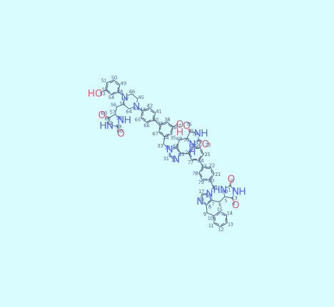 O=C1NC(=O)C(Cc2c(Cc3ccccc3)ncn2Cc2ccc(-c3cccc(-c4ncn(Cc5cc(O)cc(-c6ccc(N7CCN(c8cccc(O)c8)C(CC8NC(=O)NC8=O)C7)cc6)c5)c4CC4NC(=O)NC4=O)c3)cc2)N1